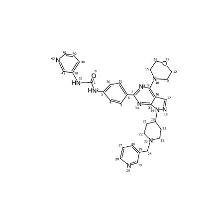 O=C(Nc1ccc(-c2nc(N3CCOCC3)c3cnn(C4CCN(Cc5cccnc5)CC4)c3n2)cc1)Nc1cccnc1